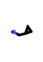 [N]CC1CC1